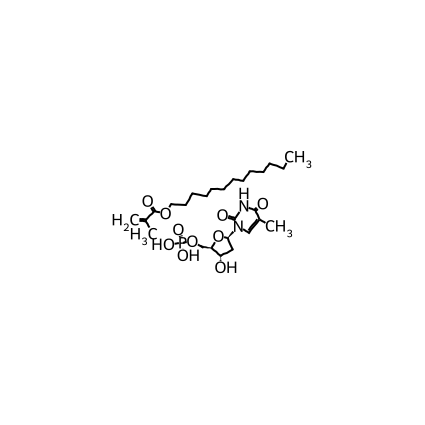 C=C(C)C(=O)OCCCCCCCCCCCCC.Cc1cn([C@H]2C[C@H](O)[C@@H](COP(=O)(O)O)O2)c(=O)[nH]c1=O